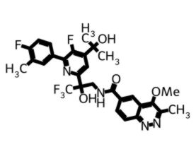 COc1c(C)nnc2ccc(C(=O)NCC(O)(c3cc(C(C)(C)O)c(F)c(-c4ccc(F)c(C)c4)n3)C(F)(F)F)cc12